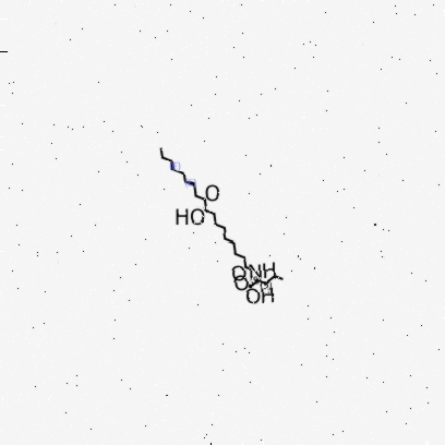 CC/C=C/C/C=C/CC(=O)C(O)CCCCCCCC(=O)N[C@H](C(=O)O)[C@@H](C)CC